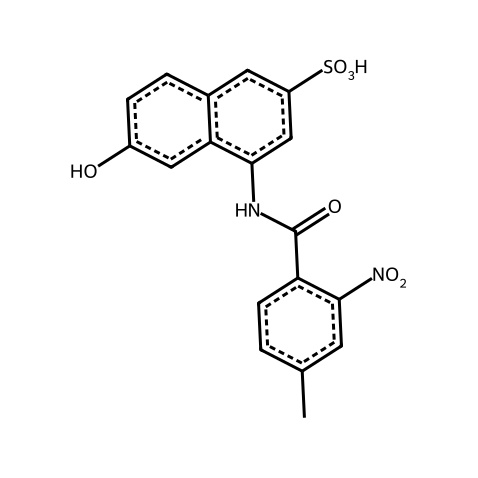 Cc1ccc(C(=O)Nc2cc(S(=O)(=O)O)cc3ccc(O)cc23)c([N+](=O)[O-])c1